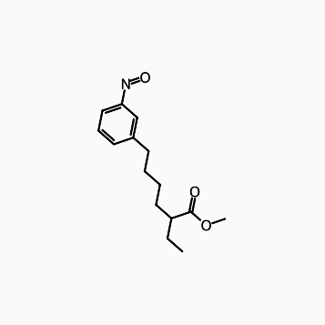 CCC(CCCCc1cccc(N=O)c1)C(=O)OC